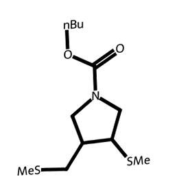 CCCCOC(=O)N1CC(CSC)C(SC)C1